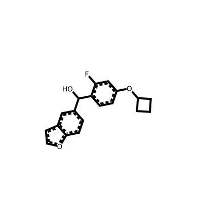 OC(c1ccc2occc2c1)c1ccc(OC2CCC2)cc1F